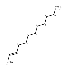 O=C/C=C/CCCCCCCCC(=O)O